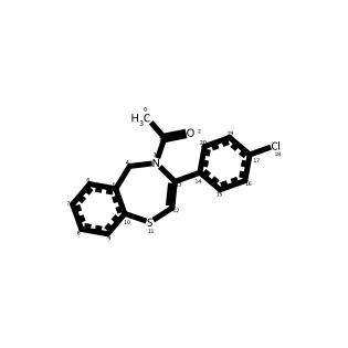 CC(=O)N1Cc2ccccc2SC=C1c1ccc(Cl)cc1